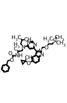 CC(C)CN(C[C@H](C)NC(=O)OCc1ccccc1)c1cc(-c2c3cc(OC4(C)CC4)ccc3nn2COCC[Si](C)(C)C)ncn1